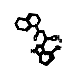 CC(CC(=O)N1CCCC2CCCCC21)c1c[nH]c2cccc(Br)c12